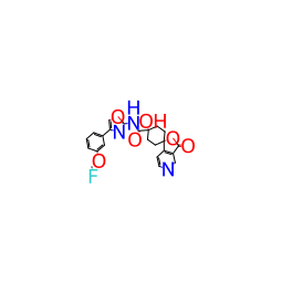 O=C1OC2(CCC(O)(C(=O)Nc3nc(-c4cccc(OCF)c4)co3)CC2)c2ccncc21